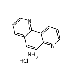 Cl.N.c1cnc2c(c1)ccc1ncccc12